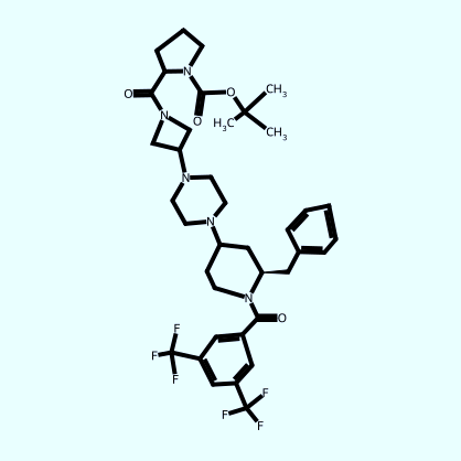 CC(C)(C)OC(=O)N1CCCC1C(=O)N1CC(N2CCN(C3CCN(C(=O)c4cc(C(F)(F)F)cc(C(F)(F)F)c4)[C@H](Cc4ccccc4)C3)CC2)C1